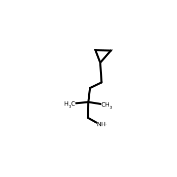 CC(C)(C[NH])CCC1CC1